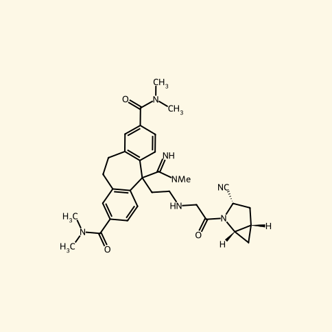 CNC(=N)C1(CCNCC(=O)N2[C@H](C#N)C[C@@H]3C[C@@H]32)c2ccc(C(=O)N(C)C)cc2CCc2cc(C(=O)N(C)C)ccc21